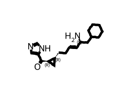 N[C@H](C=CCC[C@@H]1C[C@H]1C(=O)c1cnc[nH]1)CC1CCCCC1